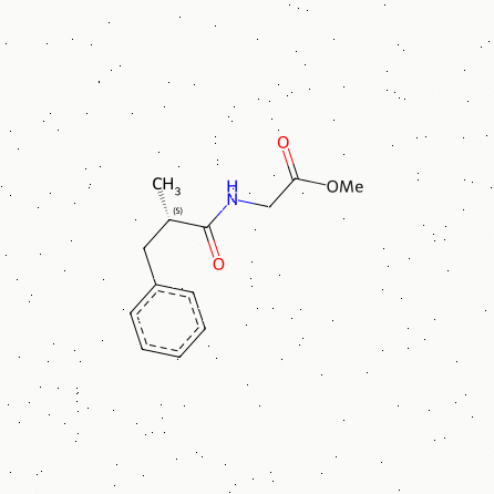 COC(=O)CNC(=O)[C@@H](C)Cc1ccccc1